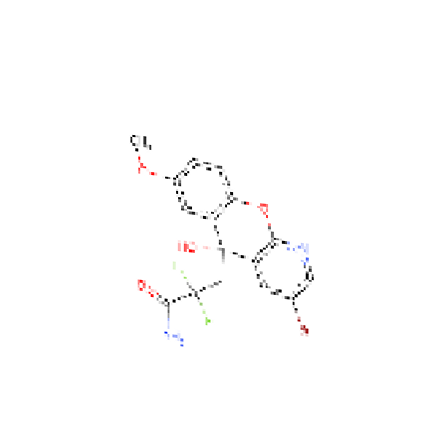 COc1ccc2c(c1)C(O)(CC(F)(F)C(N)=O)c1cc(Br)cnc1O2